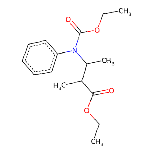 CCOC(=O)C(C)C(C)N(C(=O)OCC)c1ccccc1